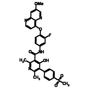 COc1cnc2c(Oc3ccc(NC(=O)c4c(C)nc(C)c(-c5ccc(S(C)(=O)=O)cc5)c4O)cc3F)ccnc2c1